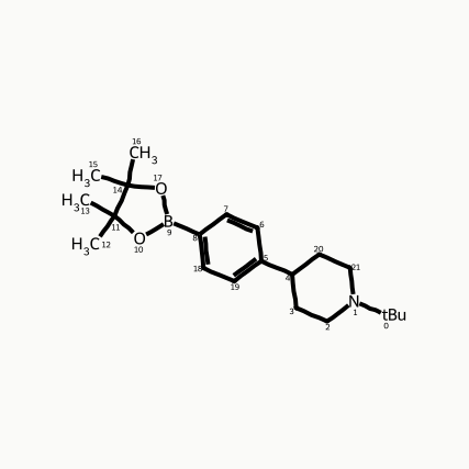 CC(C)(C)N1CCC(c2ccc(B3OC(C)(C)C(C)(C)O3)cc2)CC1